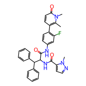 Cc1c(-c2ccc(NC(=O)C(NC(=O)c3ccnn3C)C(c3ccccc3)c3ccccc3)cc2F)ccc(=O)n1C